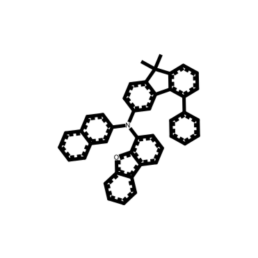 CC1(C)c2ccc(N(c3ccc4ccccc4c3)c3cccc4c3oc3ccccc34)cc2-c2c(-c3ccccc3)cccc21